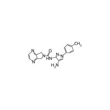 Cc1ccc(-n2cc(N)c(NC(=O)N3Cc4nccnc4C3)n2)cc1